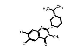 CC(C)N1CCC[C@H](c2nc3cc(Cl)c(Cl)cc3c(=O)n2C)C1